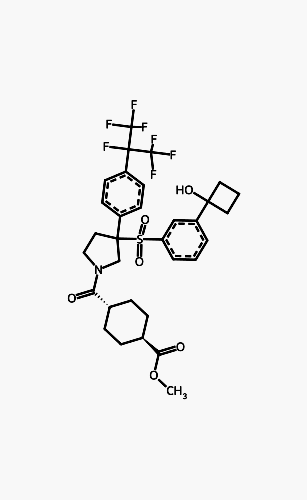 COC(=O)[C@H]1CC[C@H](C(=O)N2CCC(c3ccc(C(F)(C(F)(F)F)C(F)(F)F)cc3)(S(=O)(=O)c3cccc(C4(O)CCC4)c3)C2)CC1